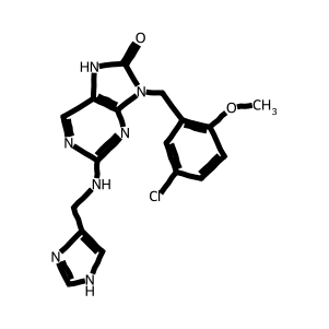 COc1ccc(Cl)cc1Cn1c(=O)[nH]c2cnc(NCc3c[nH]cn3)nc21